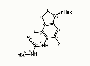 CCCCCCN1CCc2c1cc(C)c(NC(=O)NCCCC)c2C